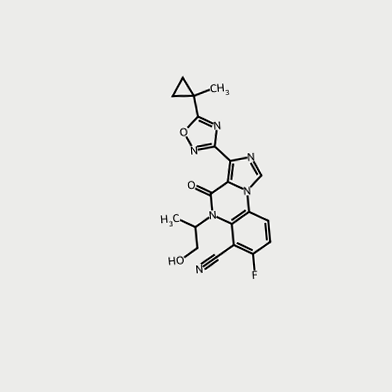 CC(CO)n1c(=O)c2c(-c3noc(C4(C)CC4)n3)ncn2c2ccc(F)c(C#N)c21